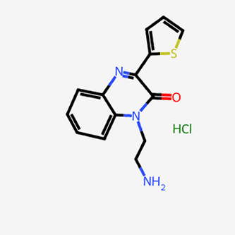 Cl.NCCn1c(=O)c(-c2cccs2)nc2ccccc21